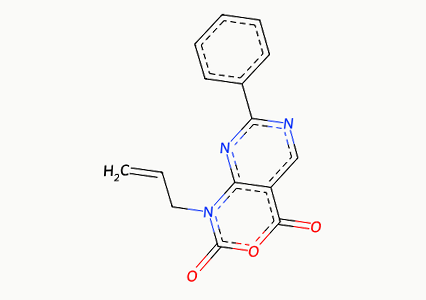 C=CCn1c(=O)oc(=O)c2cnc(-c3ccccc3)nc21